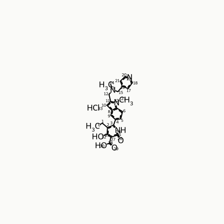 CCc1c(-c2ccc3c(c2)cc(CN(C)Cc2ccncc2)n3C)[nH]c(=O)c(C(=O)O)c1O.Cl